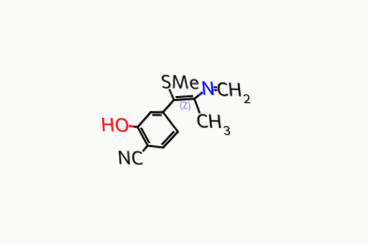 C=N/C(C)=C(\SC)c1ccc(C#N)c(O)c1